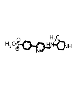 CC1CNCCC1NCc1ccc(-c2ccc(S(C)(=O)=O)cc2)nc1